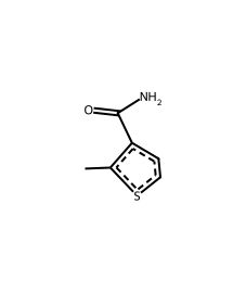 Cc1sccc1C(N)=O